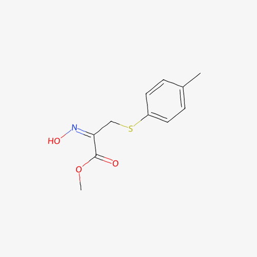 COC(=O)/C(CSc1ccc(C)cc1)=N\O